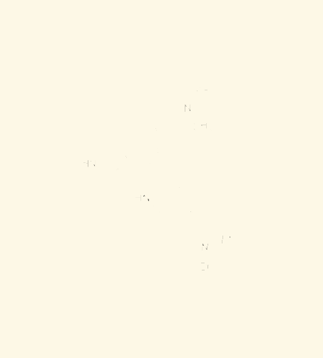 CCN(CC)c1ccc2[nH]c(-c3cc(CN(C)C)cc4c[nH]cc34)cc2c1